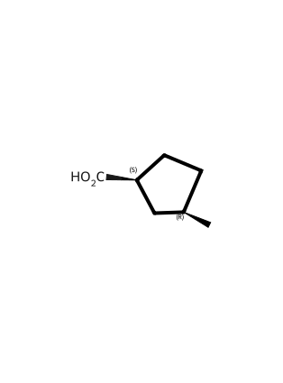 C[C@@H]1CC[C@H](C(=O)O)C1